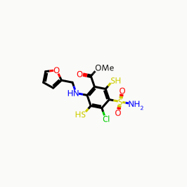 COC(=O)c1c(S)c(S(N)(=O)=O)c(Cl)c(S)c1NCc1ccco1